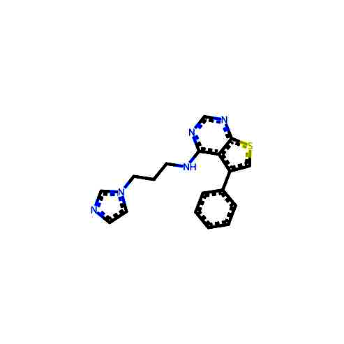 c1ccc(-c2csc3ncnc(NCCCn4ccnc4)c23)cc1